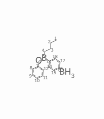 B.CCCCB(Oc1ccccc1)c1ccccc1